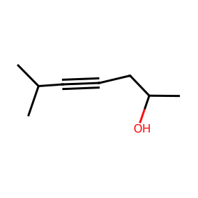 CC(C)C#CCC(C)O